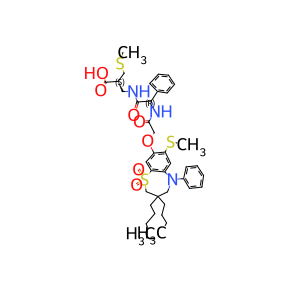 CCCCC1(CCCC)CN(c2ccccc2)c2cc(SC)c(OCC(=O)N[C@@H](C(=O)NC[C@H](CSC)C(=O)O)c3ccccc3)cc2S(=O)(=O)C1